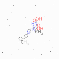 Cc1ccccc1Cc1ccc(N2CCC(Cc3nc(C)c(O)c(C(=O)NCC(=O)O)n3)CC2)cc1